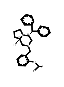 FC(F)Oc1ccccc1CN1C[C@@H]2CCCN2[C@H](C(c2ccccc2)c2ccccc2)C1